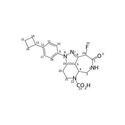 O=C1NCC2c3c(nn(-c4ccc(C5CCC5)cc4)c3CCN2C(=O)O)C1F